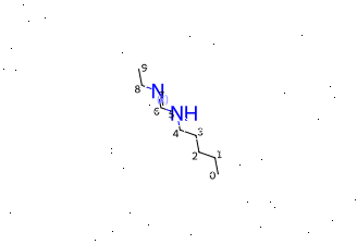 CCCCCN/C=N/CC